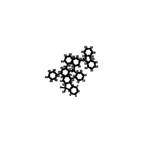 CC1(C)c2ccccc2-c2c(-c3ccccc3N(c3cccc(-n4c5ccccc5c5ccccc54)c3)c3ccc(-c4ccccc4)cc3-c3ccccc3)cccc21